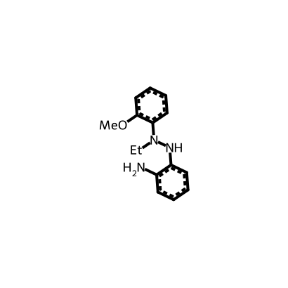 CCN(Nc1ccccc1N)c1ccccc1OC